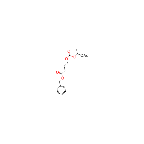 CC(=O)OC(C)OC(=O)OCCCC(=O)OCc1ccccc1